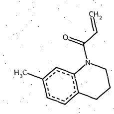 C=CC(=O)N1CCCc2ccc(C)cc21